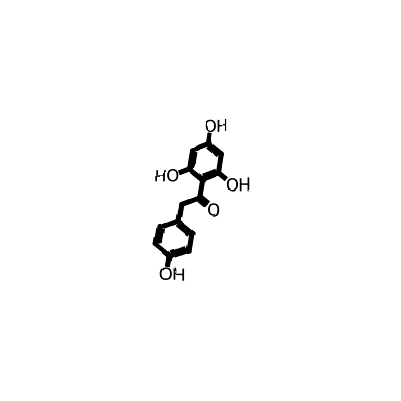 O=C(Cc1ccc(O)cc1)c1c(O)cc(O)cc1O